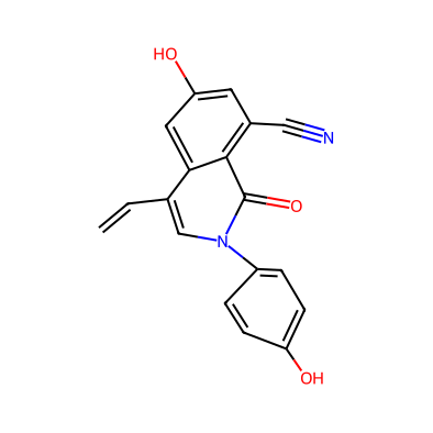 C=Cc1cn(-c2ccc(O)cc2)c(=O)c2c(C#N)cc(O)cc12